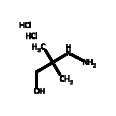 CC(C)(CO)NN.Cl.Cl